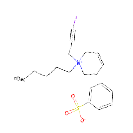 CCCCCCCCCCCCCC[N+]1(CC#CI)CC=CCC1.O=S(=O)([O-])c1ccccc1